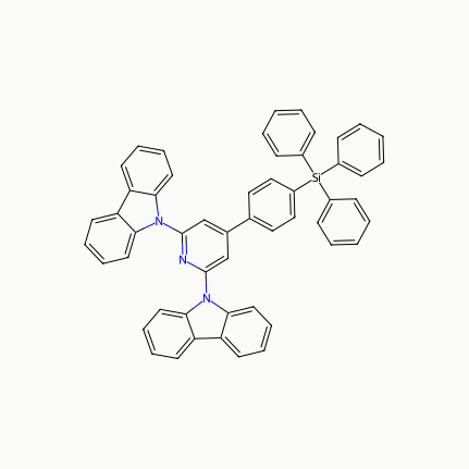 c1ccc([Si](c2ccccc2)(c2ccccc2)c2ccc(-c3cc(-n4c5ccccc5c5ccccc54)nc(-n4c5ccccc5c5ccccc54)c3)cc2)cc1